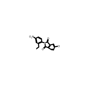 O=C1c2ccc(Cl)cc2C(=O)N1c1ccc([N+](=O)[O-])cc1CI